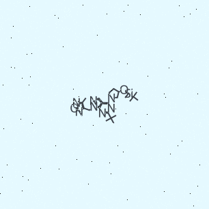 Cc1nonc1Cn1ncc2c(N3CCC(O[Si](C)(C)C(C)(C)C)C3)nc(C(C)(C)C)nc21